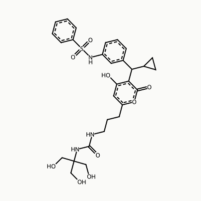 O=C(NCCCc1cc(O)c(C(c2cccc(NS(=O)(=O)c3ccccc3)c2)C2CC2)c(=O)o1)NC(CO)(CO)CO